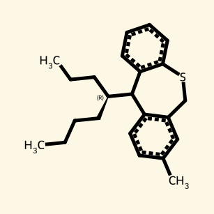 CCCC[C@@H](CCC)C1c2ccc(C)cc2CSc2ccccc21